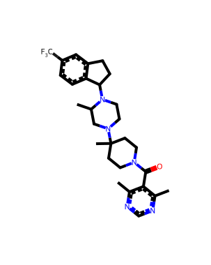 Cc1ncnc(C)c1C(=O)N1CCC(C)(N2CCN(C3CCc4cc(C(F)(F)F)ccc43)C(C)C2)CC1